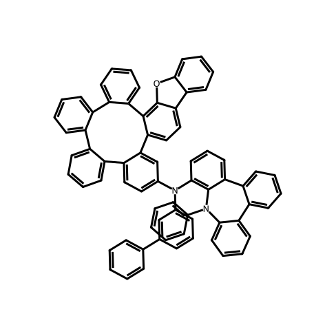 c1ccc(-c2cccc(N(c3ccc4c5ccccc5c5ccccc5c5ccccc5c5c(ccc6c7ccccc7oc65)c4c3)c3cccc4c3N(c3ccccc3)c3ccccc3-c3ccccc3-4)c2)cc1